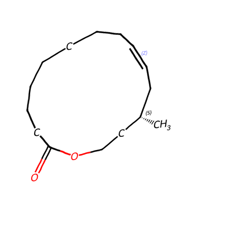 C[C@H]1C/C=C\CCCCCCCC(=O)OCC1